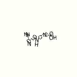 Cn1cc(-c2ccncc2C=CC(=O)Nc2ccc(CN3CCC(C(=O)O)CC3)cc2)cn1